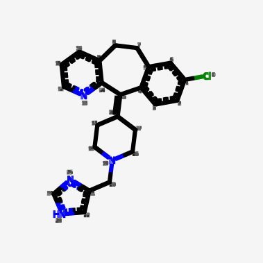 Clc1ccc2c(c1)CCc1cccnc1C2=C1CCN(Cc2c[nH]cn2)CC1